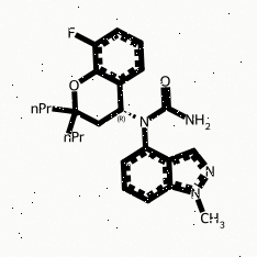 CCCC1(CCC)C[C@@H](N(C(N)=O)c2cccc3c2cnn3C)c2cccc(F)c2O1